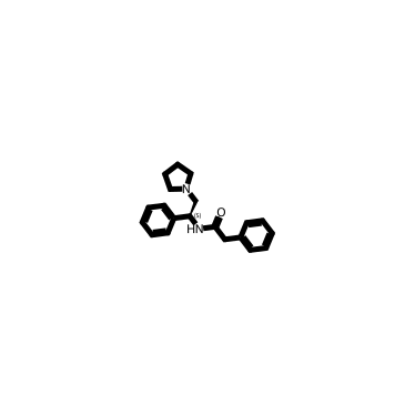 O=C(Cc1ccccc1)N[C@H](CN1CCCC1)c1ccccc1